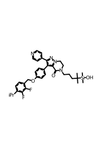 CC(C)c1ccc(COc2ccc(-c3c(-c4ccncc4)nn4c3C(=O)N(CCCC(C)(C)[Si](C)(C)O)CC4)cc2)c(F)c1F